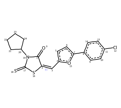 O=C1/C(=C\c2ccc(-c3ccc(Cl)cc3)o2)SC(=S)N1C1CCCC1